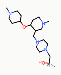 C[C@H](O)CN1CCN(CC2CN(C)CCC2OC2CCN(C)CC2)CC1